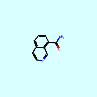 NC(=O)c1cccc2ccncc12